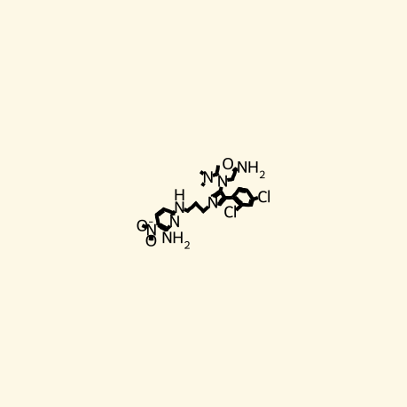 CC(N(C)C)N(CC(N)=O)c1cn(CCCNc2ccc([N+](=O)[O-])c(N)n2)cc1-c1ccc(Cl)cc1Cl